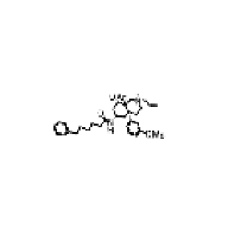 C=CC[N@@+]1(C)CC[C@@]2(c3cccc(OC)c3)C[C@H](NC(=O)CCCCCc3ccccc3)CCC2(OC(C)=O)C1